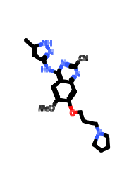 COc1cc2c(Nc3cc(C)[nH]n3)nc(C#N)nc2cc1OCCCN1CCCC1